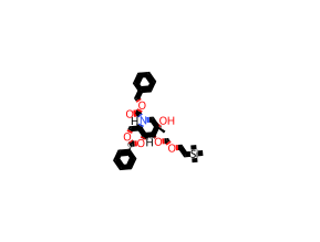 C[C@]1(O)CN(C(=O)OCc2ccccc2)[C@@H]2CO[C@@H](c3ccccc3)O[C@H]2[C@@H]1OCOCC[Si](C)(C)C